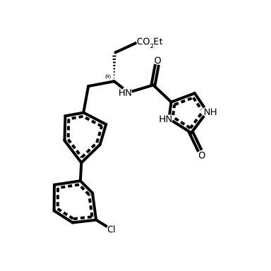 CCOC(=O)C[C@@H](Cc1ccc(-c2cccc(Cl)c2)cc1)NC(=O)c1c[nH]c(=O)[nH]1